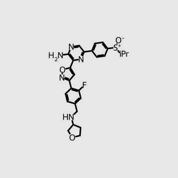 CC(C)[S+]([O-])c1ccc(-c2cnc(N)c(-c3cc(-c4ccc(CNC5CCOC5)cc4F)no3)n2)cc1